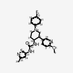 COc1ccc(C2CN(c3ccc(F)cc3)CCC2NC(=O)Nc2cc(C)ns2)cn1